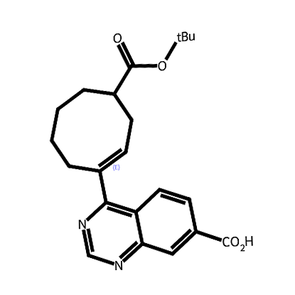 CC(C)(C)OC(=O)C1C/C=C(/c2ncnc3cc(C(=O)O)ccc23)CCCC1